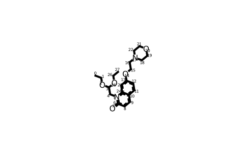 CCOC(Cn1c(=O)ccc2ccc(OCCN3CCOCC3)cc21)OCC